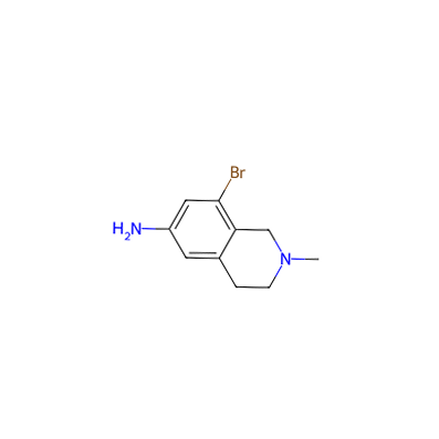 CN1CCc2cc(N)cc(Br)c2C1